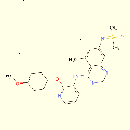 CO[C@H]1CC[C@H](Oc2ncccc2Nc2ncnc3cc(N=S(C)(C)=O)cc(C)c23)CC1